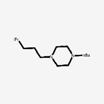 CCCCN1CCN(CCCC(C)C)CC1